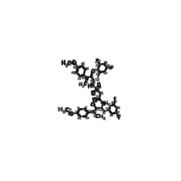 COc1ccc(N(C)C(=O)C(Cc2cc(F)cc(F)c2)NC(=O)CS(=O)(=O)N[C@@H](Cc2cc(F)cc(F)c2)C(=O)N(C)c2ccc(OC)cc2)cc1